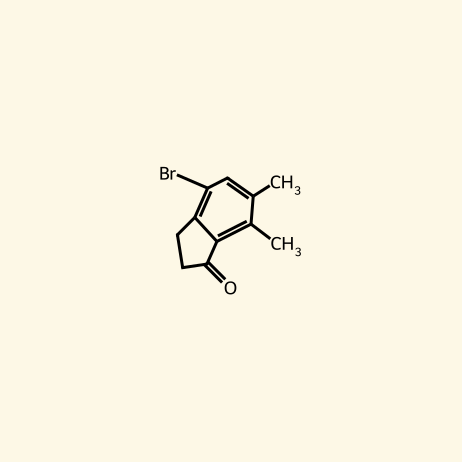 Cc1cc(Br)c2c(c1C)C(=O)CC2